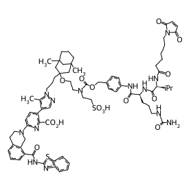 Cc1c(-c2ccc(N3CCc4cccc(C(=O)Nc5nc6ccccc6s5)c4C3)nc2C(=O)O)cnn1CCCC1(OCCN(CCS(=O)(=O)O)C(=O)OCc2ccc(NC(=O)[C@H](CCCNC(N)=O)NC(=O)[C@@H](NC(=O)CCCCCN3C(=O)C=CC3=O)C(C)C)cc2)CC2(C)CCCC(C)(C2)C1